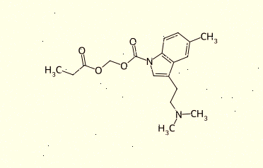 CCC(=O)OCOC(=O)n1cc(CCN(C)C)c2cc(C)ccc21